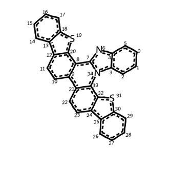 c1ccc2c(c1)nc1c3c(ccc4c5ccccc5sc43)c3ccc4c5ccccc5sc4c3n21